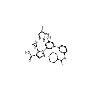 CC(Oc1cccc(-c2cc(O)cc(-n3ncc(C(=O)O)c3[C@H]3C[C@@H]3C3=CN(C)NN3)c2)c1)C1CCCCC1